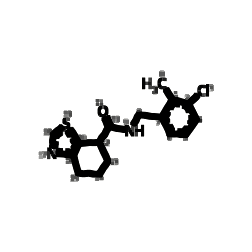 Cc1c(Cl)cccc1CNC(=O)C1CCCc2ncsc21